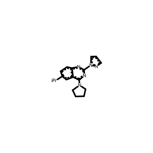 CC(C)c1ccc2nc(-n3cccn3)nc(N3CCCC3)c2c1